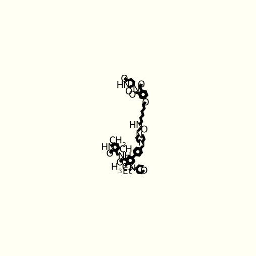 CCN(c1cc(-c2ccc(CN3CCN(CC(=O)NCCCCCCOc4ccc5c(c4)C(=O)N(C4CCC(=O)NC4=O)C5=O)CC3)cc2)cc(C(=O)NCc2c(C)cc(C)[nH]c2=O)c1C)C1CCOCC1